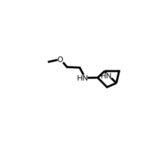 COCCNC1CC2CC1N2